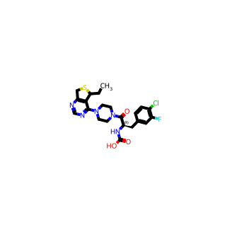 CCC1SCc2ncnc(N3CCN(C(=O)[C@@H](Cc4ccc(Cl)c(F)c4)NC(=O)O)CC3)c21